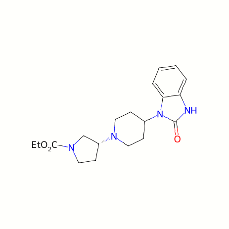 CCOC(=O)N1CC[C@@H](N2CCC(n3c(=O)[nH]c4ccccc43)CC2)C1